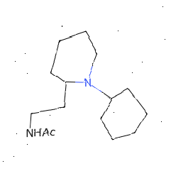 CC(=O)NCCC1CCCCN1C1CCCCC1